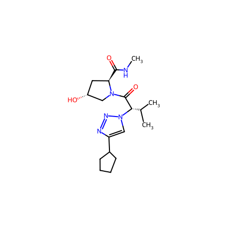 CNC(=O)[C@@H]1C[C@@H](O)CN1C(=O)[C@H](C(C)C)n1cc(C2CCCC2)nn1